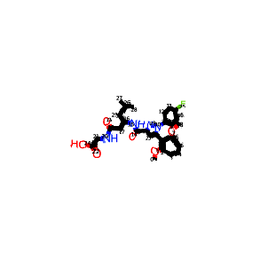 COc1cccc(OC)c1-c1cc(C(=O)NC(CC(=O)NCC(=O)O)CC(C)C)nn1-c1ccc(F)cc1